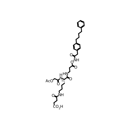 CC(=O)OCC(=O)N[C@@H](CCCCNC(=O)CCC(=O)O)C(=O)NCCC(=O)ONC(=O)Cc1ccc(CCCCc2ccccc2)cc1